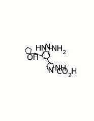 Nc1n[nH]c2c(C#CC3(O)CCCC3)cc(-c3ccnc(NC(=O)O)c3)cc12